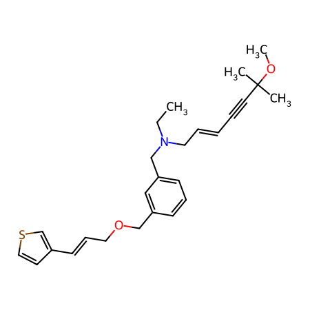 CCN(CC=CC#CC(C)(C)OC)Cc1cccc(COCC=Cc2ccsc2)c1